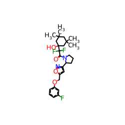 CC1(C)CC(C)(C)CC(O)(C(F)(F)C(=O)N2CCCC2c2cc(COc3cccc(F)c3)on2)C1